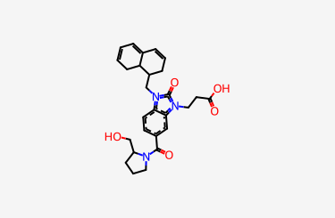 O=C(O)CCn1c(=O)n(CC2CC=CC3=CC=CCC32)c2ccc(C(=O)N3CCCC3CO)cc21